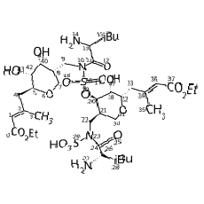 CCOC(=O)/C=C(\C)C[C@@H]1OC[C@@H](CN(C(=O)C(N)C(C)CC)S(=O)(=O)O[C@@H]2[C@H](CN(C(=O)[C@@H](N)[C@H](C)CC)S(=O)(=O)O)CO[C@@H](C/C(C)=C/C(=O)OCC)[C@H]2O)[C@@H](O)[C@H]1O